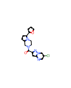 O=C(c1cc2ncc(Cl)cn2n1)N1CCn2c(ccc2-c2ccco2)C1